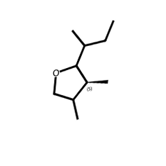 CCC(C)C1OCC(C)[C@@H]1C